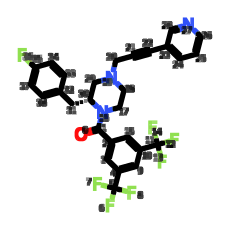 O=C(c1cc(C(F)(F)F)cc(C(F)(F)F)c1)N1CCN(CC#Cc2cccnc2)C[C@H]1Cc1ccc(F)cc1